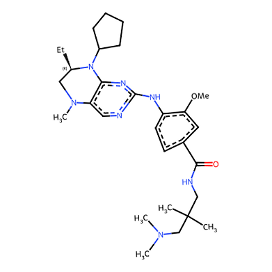 CC[C@@H]1CN(C)c2cnc(Nc3ccc(C(=O)NCC(C)(C)CN(C)C)cc3OC)nc2N1C1CCCC1